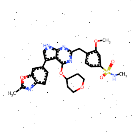 CNS(=O)(=O)c1ccc(Cc2nc(OC3CCOCC3)c3c(-c4ccc5nc(C)oc5c4)c[nH]c3n2)c(OC)c1